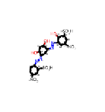 O=[N+]([O-])c1ccc(/N=N/c2cc(/N=N/c3cc([N+](=O)[O-])cc(S(=O)(=O)O)c3O)c(O)cc2O)c(S(=O)(=O)O)c1